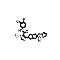 Cn1cnc(C2CC3CC(O)(Cn4cccn4)CC3C2)c1C(=O)Nc1ccc(F)c(Cl)c1